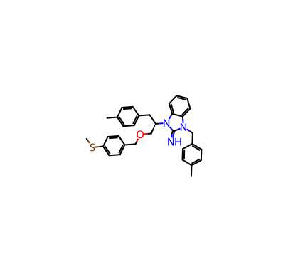 CSc1ccc(COC[C@@H](Cc2ccc(C)cc2)n2c(=N)n(Cc3ccc(C)cc3)c3ccccc32)cc1